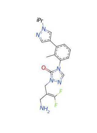 Cc1c(-c2cnn(C(C)C)c2)cccc1-n1cnn(CC(CN)=C(F)F)c1=O